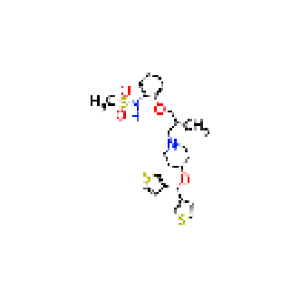 CC(COc1ccccc1NS(C)(=O)=O)CN1CCC(OC(c2ccsc2)c2ccsc2)CC1